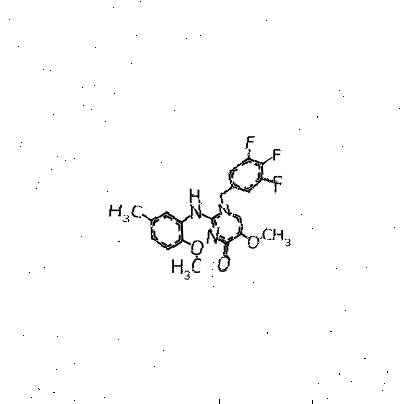 COc1ccc(C)cc1Nc1nc(=O)c(OC)cn1Cc1cc(F)c(F)c(F)c1